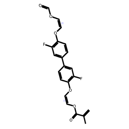 C=C(C)C(=O)O/C=C\Oc1ccc(-c2ccc(O/C=C\OC=O)c(F)c2)cc1F